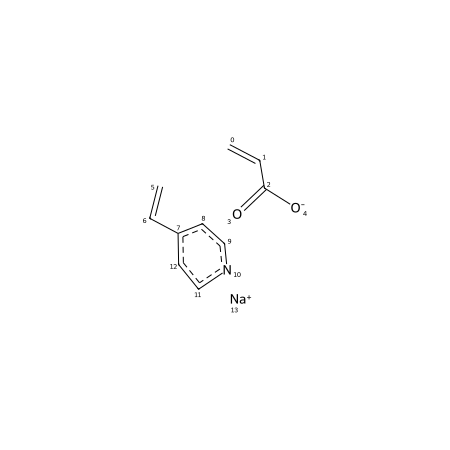 C=CC(=O)[O-].C=Cc1ccncc1.[Na+]